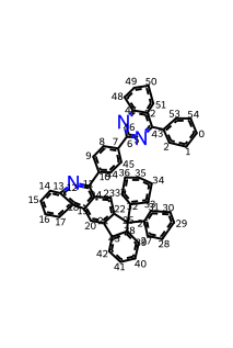 c1ccc(-c2nc(-c3ccc(-c4nc5ccccc5c5cc6c(cc45)C(c4ccccc4)(c4ccccc4)c4ccccc4-6)cc3)nc3ccccc23)cc1